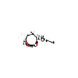 CC[C@@H]1/C=C(\C)C[C@H](C)C[C@H](OC)[C@H]2O[C@@](O)(C(=O)C(=O)N3CCCC[C@H]3C(=O)O[C@H](/C(C)=C/[C@@H]3CC[C@@H](OC(=O)CC/C=C/C(=O)O)[C@H](OC)C3)[C@H](C)/C=C/C1=O)[C@H](C)C[C@@H]2OC